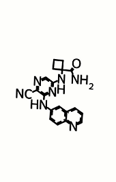 N#Cc1ncc(NC2(C(N)=O)CCC2)nc1Nc1ccc2ncccc2c1